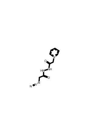 [N-]=[N+]=NCC(=O)NNC(=O)C[n+]1ccccc1